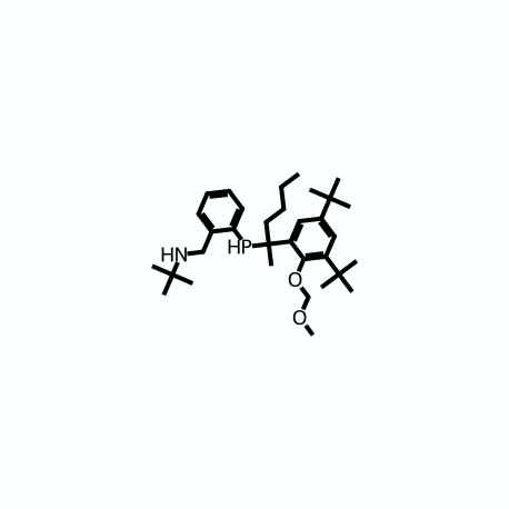 CCCCC(C)(Pc1ccccc1CNC(C)(C)C)c1cc(C(C)(C)C)cc(C(C)(C)C)c1OCOC